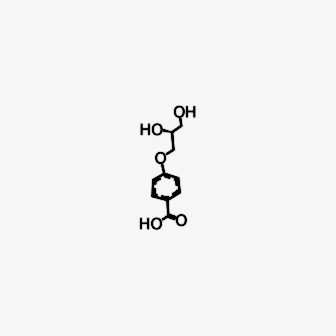 O=C(O)c1ccc(OC[C@@H](O)CO)cc1